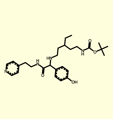 CCC(CCNC(=O)OC(C)(C)C)CCNC(C(=O)NCCc1ccncc1)c1ccc(O)cc1